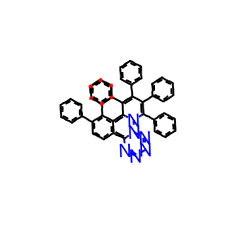 c1ccc(C2=C(c3ccccc3)C3=c4c(-c5ccccc5)c(-c5ccccc5)ccc4=C4N=NN=NN4N3C(c3ccccc3)=C2c2ccccc2)cc1